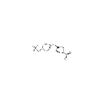 CC(C)(C)CC1CCN(Cc2ccc(C(=O)O)cc2)CC1